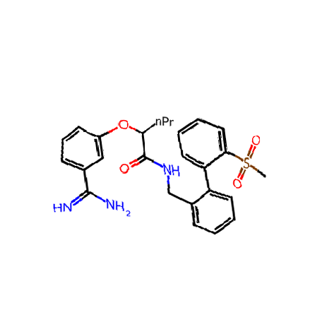 CCCC(Oc1cccc(C(=N)N)c1)C(=O)NCc1ccccc1-c1ccccc1S(C)(=O)=O